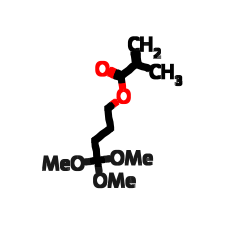 C=C(C)C(=O)OCCCC(OC)(OC)OC